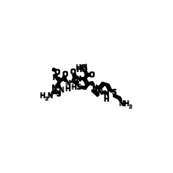 CO/N=C(\C(=O)N[C@@H]1C(=O)N2C(C(=O)O)=C(CN3C=CN4NC(SCCN)=CC=C34)CS[C@@H]12)c1nsc(N)n1.Cl